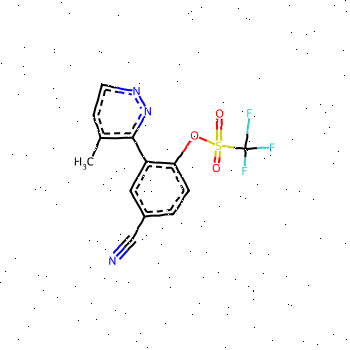 Cc1ccnnc1-c1cc(C#N)ccc1OS(=O)(=O)C(F)(F)F